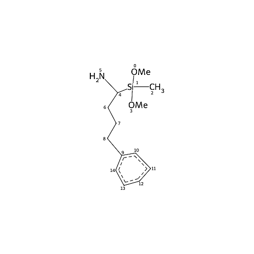 CO[Si](C)(OC)C(N)CCCc1ccccc1